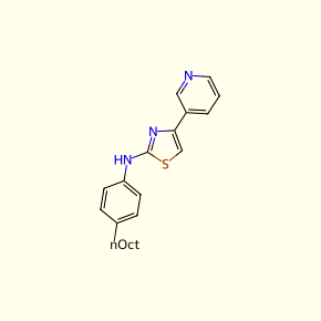 CCCCCCCCc1ccc(Nc2nc(-c3cccnc3)cs2)cc1